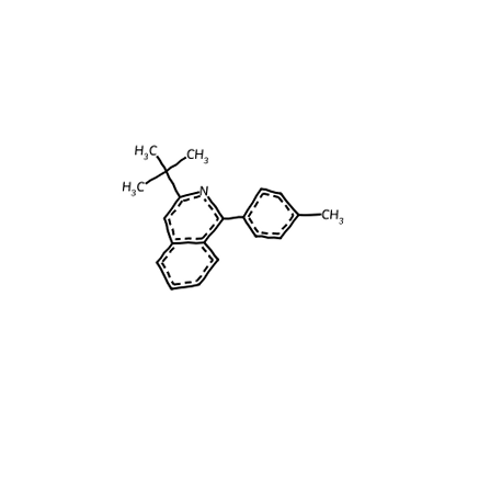 Cc1ccc(-c2nc(C(C)(C)C)cc3ccccc23)cc1